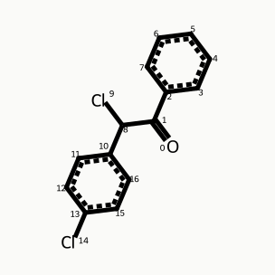 O=C(c1ccccc1)C(Cl)c1ccc(Cl)cc1